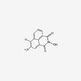 Nc1cc2c3c(cccc3c1Cl)C(=O)N(O)C2=O